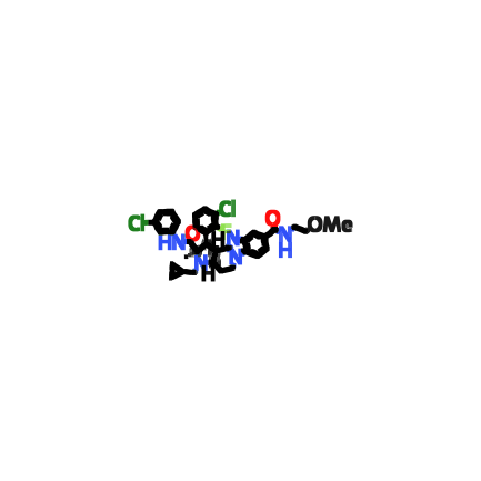 COCCNC(=O)c1ccc2c(c1)nc1n2CC[C@H]2[C@@H]1[C@H](c1cccc(Cl)c1F)[C@](C)(C(=O)Nc1cccc(Cl)c1)N2CC1CC1